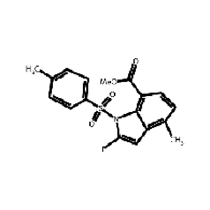 COC(=O)c1ccc(C)c2cc(I)n(S(=O)(=O)c3ccc(C)cc3)c12